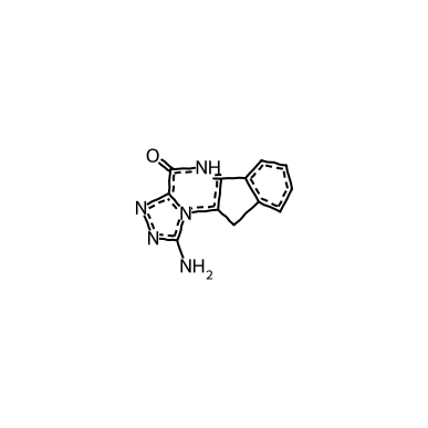 Nc1nnc2c(=O)[nH]c3c(n12)Cc1ccccc1-3